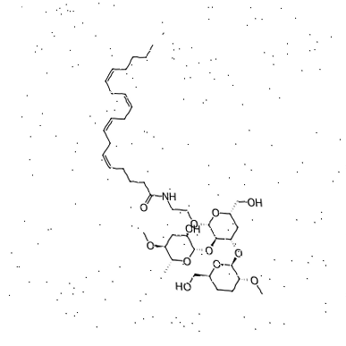 CCCC/C=C\C/C=C\C/C=C\C/C=C\CCCC(=O)NCCO[C@@H]1O[C@H](CO)C[C@H](O[C@@H]2O[C@H](CO)CC[C@H]2OC)[C@H]1O[C@@H]1O[C@H](C)[C@@H](OC)C[C@H]1O